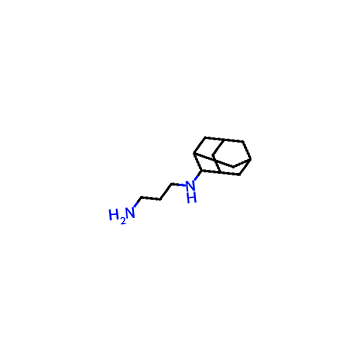 NCCCNC1C2CC3CC(C2)CC1C3